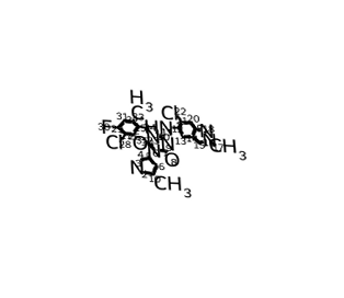 Cc1cncc(-n2c(=O)nc(Nc3cc4cn(C)nc4cc3Cl)n(Cc3cc(Cl)c(F)cc3C)c2=O)c1